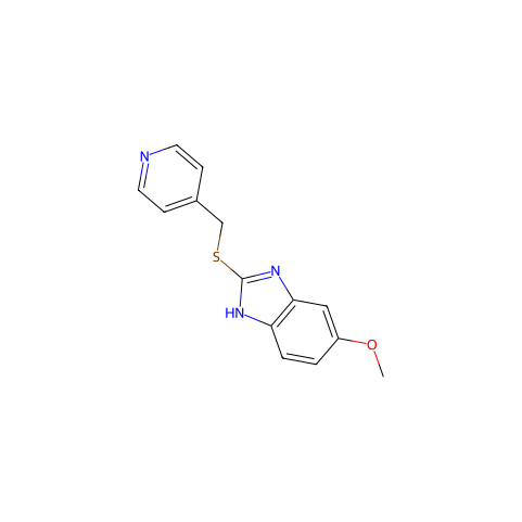 COc1ccc2[nH]c(SCc3ccncc3)nc2c1